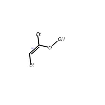 CC/C=C(/CC)OO